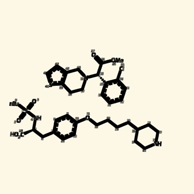 CCCCS(=O)(=O)N[C@@H](Cc1ccc(OCCCCC2CCNCC2)cc1)C(=O)O.COC(=O)[C@H](c1ccccc1Cl)N1CCc2sccc2C1